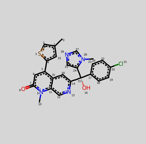 Cc1csc(-c2cc(=O)n(C)c3cnc([C@](O)(c4ccc(Cl)cc4)c4cncn4C)cc23)c1